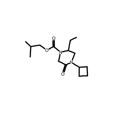 CCC1CN(C2CCC2)C(=O)CN1C(=O)OCC(C)C